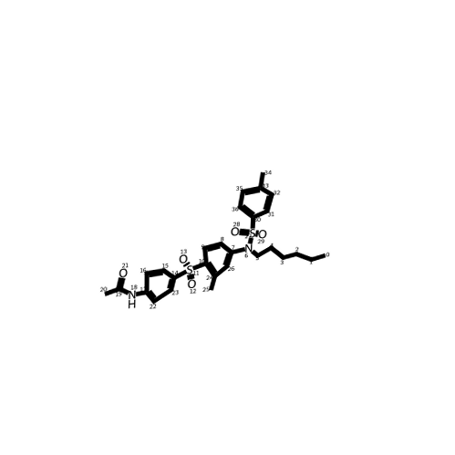 CCCCCCN(c1ccc(S(=O)(=O)c2ccc(NC(C)=O)cc2)c(C)c1)S(=O)(=O)c1ccc(C)cc1